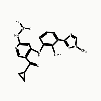 COc1c(Nc2cc(N[S+]([O-])C(C)(C)C)ncc2C(=O)C2CC2)cccc1-c1ncn(C)n1